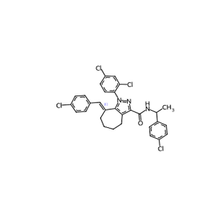 CC(NC(=O)c1nn(-c2ccc(Cl)cc2Cl)c2c1CCCC/C2=C\c1ccc(Cl)cc1)c1ccc(Cl)cc1